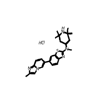 Cc1cn2cc(-c3ccc4nc(N(C)C5CC(C)(C)NC(C)(C)C5)sc4c3)ccc2n1.Cl